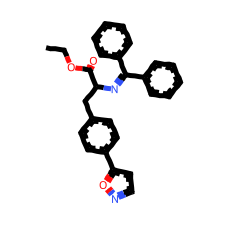 CCOC(=O)C(Cc1ccc(-c2ccno2)cc1)N=C(c1ccccc1)c1ccccc1